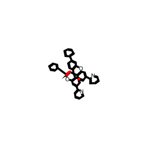 c1ccc(-c2ccc3c(c2)Oc2cc(-c4ccccn4)ccc2C32c3ccc(-c4ccccc4)cc3Oc3cc(-c4ccccn4)ccc32)cc1